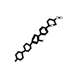 CCOC1CCC(c2ccc(-c3ccc(C4CCC(C5CCC(C)CC5)CC4)cc3F)cc2)CC1